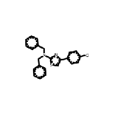 Clc1ccc(-c2csc(N(Cc3ccccc3)Cc3ccccc3)n2)cc1